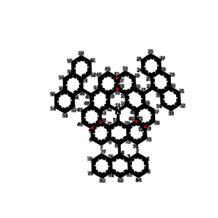 c1ccc2c(-c3c4ccccc4c(N(c4c5ccccc5c(-c5c6ccccc6cc6ccccc56)c5ccccc45)c4c5ccccc5c(-c5c6ccccc6cc6ccccc56)c5ccccc45)c4ccccc34)c3ccccc3cc2c1